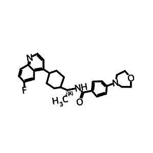 C[C@@H](NC(=O)c1ccc(N2CCOCC2)cc1)C1CCC(c2ccnc3ccc(F)cc23)CC1